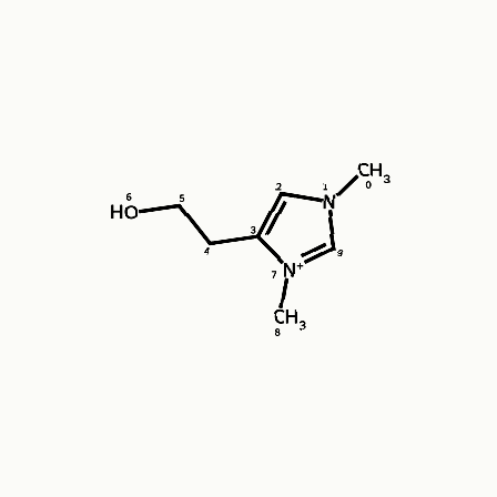 Cn1cc(CCO)[n+](C)c1